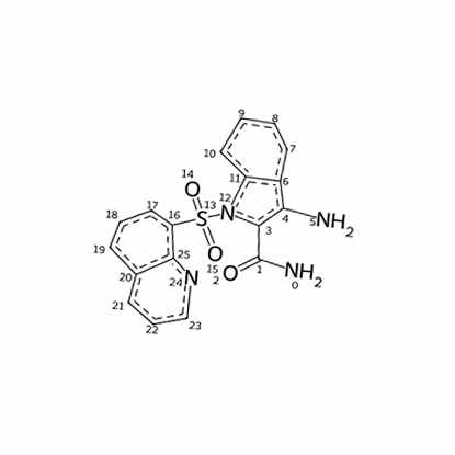 NC(=O)c1c(N)c2ccccc2n1S(=O)(=O)c1cccc2cccnc12